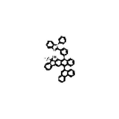 CC1(C)c2ccccc2-c2cc3c(-c4cc5ccccc5c5ccccc45)c4ccccc4c(-c4cccc(-c5nc6ccccc6n5-c5ccccc5)c4)c3cc21